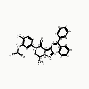 C[C@H]1CN(c2ccc(Cl)c(OC(F)F)c2)C(=O)c2c(N=C(c3ccccc3)c3ccccc3)cnn21